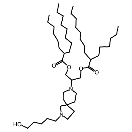 CCCCCCCCC(CCCCCC)C(=O)OCC(COC(=O)C(CCCCCC)CCCCCCCC)N1CCC2(CCN(CCCCCO)C2)CC1